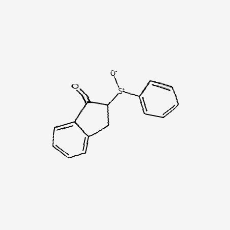 O=C1c2ccccc2CC1[S+]([O-])c1ccccc1